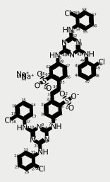 O=S(=O)([O-])c1cc(Nc2nc(Nc3ccccc3Cl)nc(Nc3ccccc3Cl)n2)ccc1C=Cc1ccc(Nc2nc(Nc3ccccc3Cl)nc(Nc3ccccc3Cl)n2)cc1S(=O)(=O)[O-].[Na+].[Na+]